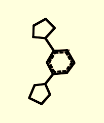 [c]1ccc(C2CCCC2)cc1C1CCCC1